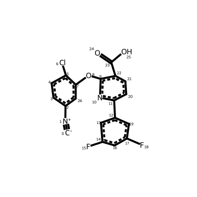 [C-]#[N+]c1ccc(Cl)c(Oc2nc(-c3cc(F)cc(F)c3)ccc2C(=O)O)c1